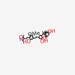 COc1cc(/C=C/c2cc(O)c3c(c2)C[C@@H]2C(C)(C)[C@H](O)CC[C@@]2(C)O3)cc(O)c1/C=C/c1c(C)noc1C